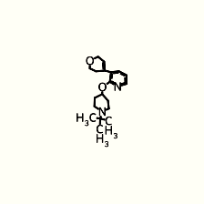 CC(C)(C)N1CCC(Oc2ncccc2C2=CCOCC2)CC1